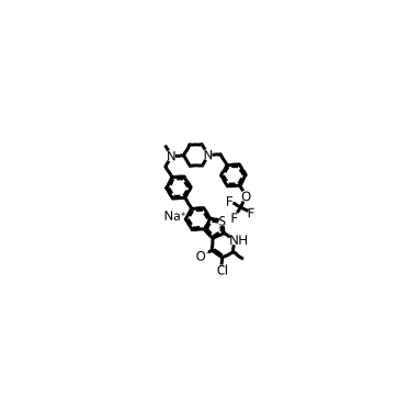 CC1Nc2sc3cc(-c4ccc(CN(C)C5CCN(Cc6ccc(OC(F)(F)F)cc6)CC5)cc4)ccc3c2C([O-])=C1Cl.[Na+]